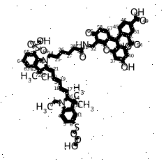 CCN1c2ccc(SOOO)cc2C(C)(C)C1/C=C/C=C/C=C1/N(CCCCCC(=O)NCc2c3oc4cc(O)ccc4c(-c4ccc(C(=O)O)cc4C(=O)O)c-3ccc2=O)c2c(cccc2S(=O)(=O)O)C1(C)C